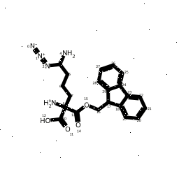 [N-]=[N+]=NC(N)CCCC(N)(C(=O)O)C(=O)OCC1c2ccccc2-c2ccccc21